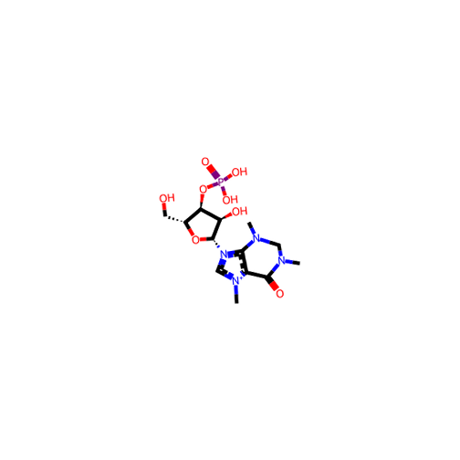 CN1CN(C)c2c([n+](C)cn2[C@@H]2O[C@H](CO)[C@@H](OP(=O)(O)O)[C@H]2O)C1=O